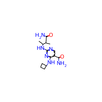 CC(Nc1ncc(C(N)=O)c(NC2CCC2)n1)C(C)C(N)=O